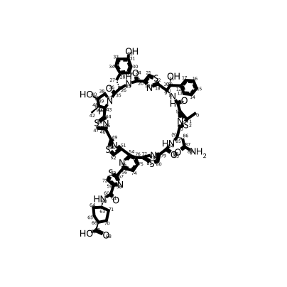 Cc1sc2nc1C(=O)N[C@@H]([C@H](O)c1ccccc1)c1nc(cs1)C(=O)N[C@@H](Cc1ccc(O)cc1)C(=O)N1C[C@H](O)[C@H](C)[C@H]1c1nc(cs1)-c1nc(cs1)-c1nc(-c3nc(C(=O)N[C@H]4CC[C@H](C(=O)O)CC4)cs3)ccc1-c1nc(cs1)C(=O)N[C@H]2CC(N)=O